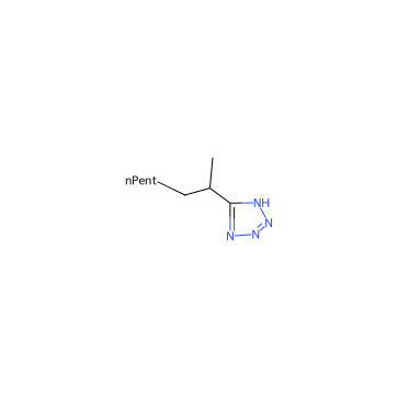 CCCCCCC(C)c1nnn[nH]1